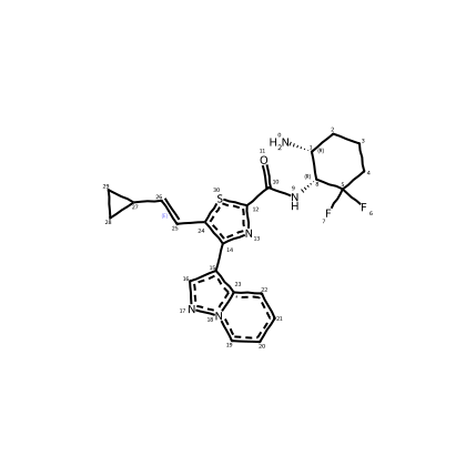 N[C@@H]1CCCC(F)(F)[C@@H]1NC(=O)c1nc(-c2cnn3ccccc23)c(/C=C/C2CC2)s1